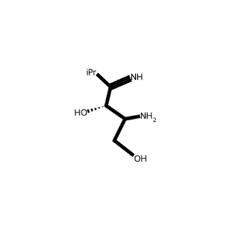 CC(C)C(=N)[C@@H](O)C(N)CO